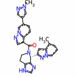 Cc1cccn2nc([C@@H]3c4nc[nH]c4CCN3C(=O)c3cnn4cc(-c5cnn(C)c5)ccc34)cc12